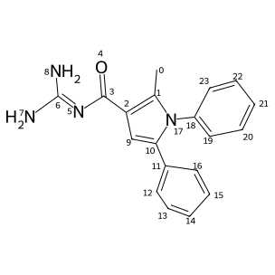 Cc1c(C(=O)N=C(N)N)cc(-c2ccccc2)n1-c1ccccc1